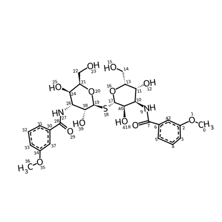 COc1cccc(C(=O)N[C@@H]2[C@@H](O)[C@@H](CO)O[C@@H](S[C@@H]3O[C@H](CO)[C@H](O)[C@@H](NC(=O)c4cccc(OC)c4)[C@H]3O)[C@@H]2O)c1